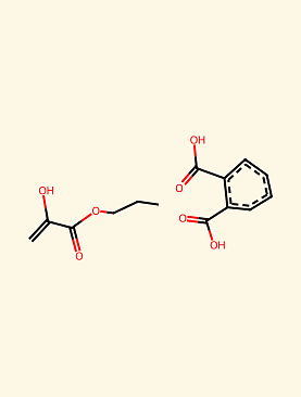 C=C(O)C(=O)OCCC.O=C(O)c1ccccc1C(=O)O